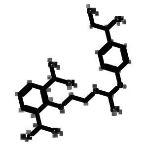 CCC(C)c1ccc(OC(C)OCCOc2c(C(C)C)cccc2C(C)C)cc1